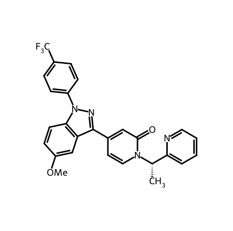 COc1ccc2c(c1)c(-c1ccn([C@@H](C)c3ccccn3)c(=O)c1)nn2-c1ccc(C(F)(F)F)cc1